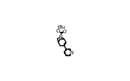 CC(C)(C)OC(=O)N1CC2CC(c3cccnc3)=CC1C2